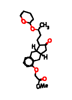 COC(=O)COc1cccc2c1C[C@H]1CC(=O)C(CC[C@H](C)OC3CCCCO3)[C@H]1C2